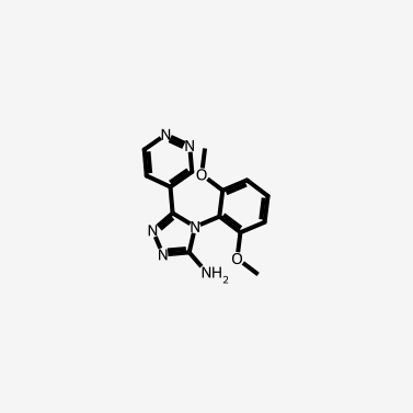 COc1cccc(OC)c1-n1c(N)nnc1-c1ccnnc1